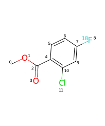 COC(=O)c1ccc([18F])cc1Cl